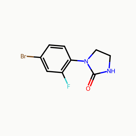 O=C1NCCN1c1ccc(Br)cc1F